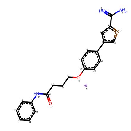 I.N=C(N)c1cc(-c2ccc(OCCCC(=O)Nc3ccccc3)cc2)cs1